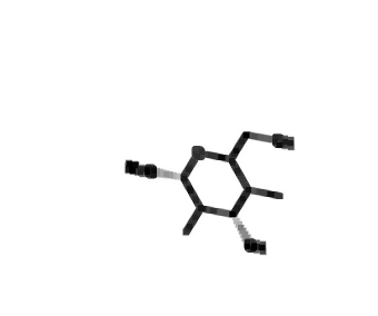 CO[C@@H]1OC(CO)C(C)[C@H](O)C1C